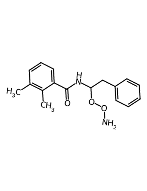 Cc1cccc(C(=O)NC(Cc2ccccc2)OON)c1C